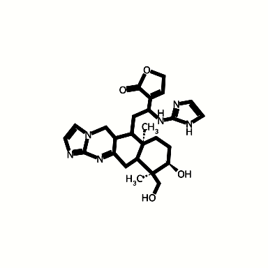 C[C@]12CC[C@@H](O)[C@@](C)(CO)C1CC1=Nc3nccn3CC1C2CC(Nc1ncc[nH]1)C1=CCOC1=O